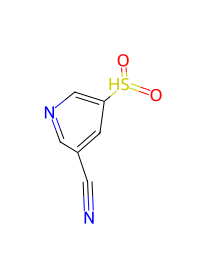 N#Cc1cncc([SH](=O)=O)c1